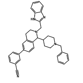 N#Cc1cccc(-c2ccc3c(c2)CCN(Cc2nc4ccccc4[nH]2)C3C2CCN(Cc3ccccc3)CC2)c1